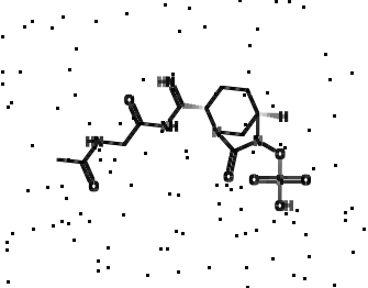 CC(=O)NCC(=O)NC(=N)[C@@H]1CC[C@@H]2CN1C(=O)N2OS(=O)(=O)O